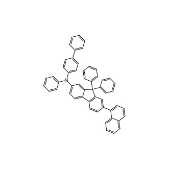 c1ccc(-c2ccc(N(c3ccccc3)c3ccc4c(c3)C(c3ccccc3)(c3ccccc3)c3cc(-c5cccc6ccccc56)ccc3-4)cc2)cc1